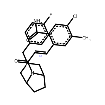 Cc1cc(/C=C/C(=O)N2C3CCC2CN(Cc2ccc(F)cc2)C3)c(C(N)=O)cc1Cl